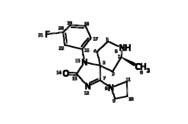 C[C@H]1CC2(CCN1)C(N1CCC1)=NC(=O)N2c1cccc(F)c1